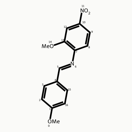 COc1ccc(/C=N/c2ccc([N+](=O)[O-])cc2OC)cc1